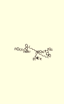 CCCCCCCCC(CCCC)COC(=O)C(C)CCCCCCN(CCCCCCC(C)C(=O)OCC(CCCC)CCCCCCCC)CCCN(CC)CC